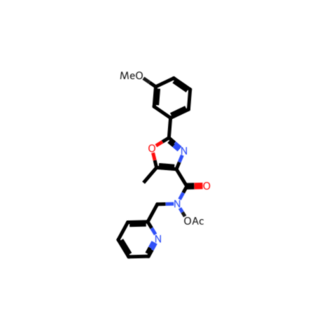 COc1cccc(-c2nc(C(=O)N(Cc3ccccn3)OC(C)=O)c(C)o2)c1